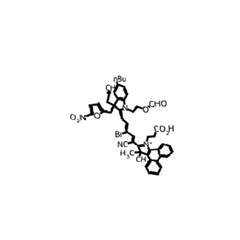 C#CCC1(Cc2ccc([N+](=O)[O-])o2)/C(=C/C=C(Br)/C=C(\C#N)C2=[N+](CCC(=O)O)c3c(c4ccccc4c4ccccc34)C2(C)C)N(CCOC=O)c2ccc(CCCC)cc21